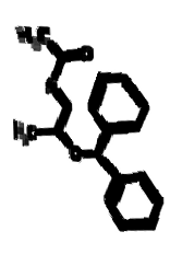 CC(=O)SCC(C)OC(c1ccccc1)c1ccccc1